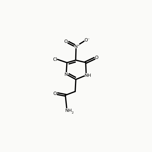 NC(=O)Cc1nc(Cl)c([N+](=O)[O-])c(=O)[nH]1